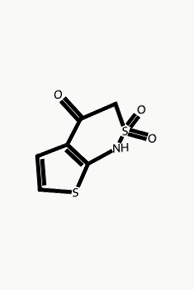 O=C1CS(=O)(=O)Nc2sccc21